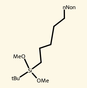 CCCCCCCCCCCCCC[Si](OC)(OC)C(C)(C)C